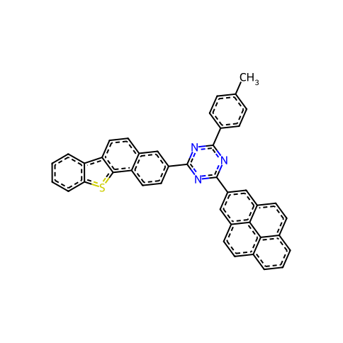 Cc1ccc(-c2nc(-c3ccc4c(ccc5c6ccccc6sc45)c3)nc(-c3cc4ccc5cccc6ccc(c3)c4c56)n2)cc1